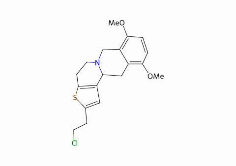 COc1ccc(OC)c2c1CC1c3cc(CCCl)sc3CCN1C2